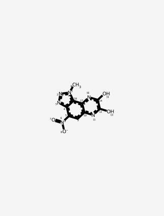 Cn1nnc2c([N+](=O)[O-])cc3nc(O)c(O)nc3c21